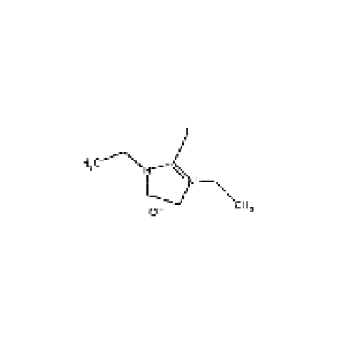 CCN1CC[N+](CC)=C1F.[Cl-]